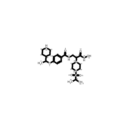 CC(Oc1ccc(C(=O)NCC(C(=O)NO)N2CCN(S(=O)(=O)C(C)C)CC2)cc1)C1CCNCC1